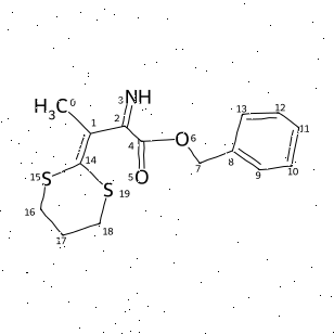 CC(C(=N)C(=O)OCc1ccccc1)=C1SCCCS1